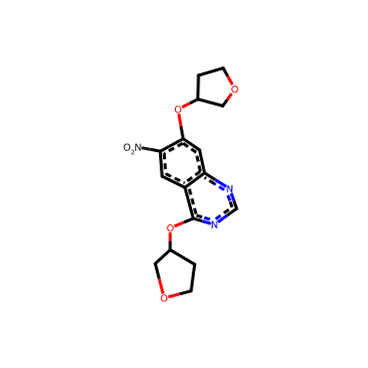 O=[N+]([O-])c1cc2c(OC3CCOC3)ncnc2cc1OC1CCOC1